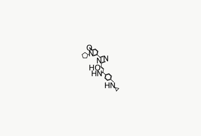 N=C(/C=C(\O)c1cncc(-c2ccc(=O)n(C3CCCC3)c2)n1)c1ccc(CNC2CC2)cc1